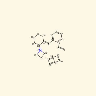 C=Cc1ccccc1C=C1CCCCC1N1CCC1.c1cc2ccc1-2